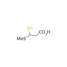 CSC(S)CC(=O)O